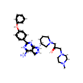 CN1CCN(CC(=O)CN2CCC[C@@H](n3ncc4c(N)nc(-c5ccc(Oc6ccccc6)cc5)nc43)C2)CC1